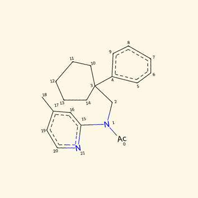 CC(=O)N(CC1(c2ccccc2)CCCCC1)c1cc(C)ccn1